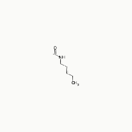 CC/C=C/CN[C]=O